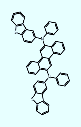 C1=C=Cc2c(sc3ccc(N(c4ccccc4)c4cc5c6ccccc6c(N(c6ccccc6)c6ccc7sc8ccccc8c7c6)cc5c5ccccc45)cc23)C=1